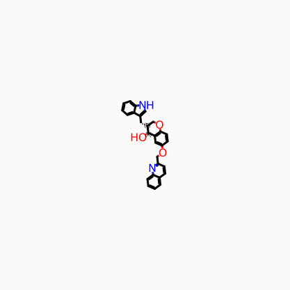 O[C@H]1c2cc(OCc3ccc4ccccc4n3)ccc2OC[C@H]1Cc1c[nH]c2ccccc12